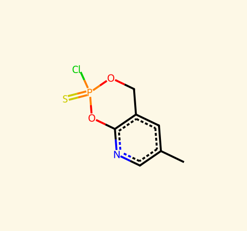 Cc1cnc2c(c1)COP(=S)(Cl)O2